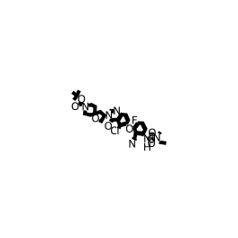 CCN(C)S(=O)(=O)Nc1ccc(F)c(Oc2ccc3ncn([C@H]4COC5(CCN(C(=O)OC(C)(C)C)CC5)C4)c(=O)c3c2Cl)c1C#N